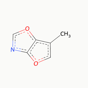 Cc1coc2ncoc12